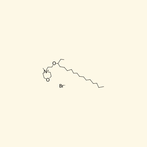 CCCCCCCCCCCCCCC(CC)OCC[N+]1(C)CCOCC1.[Br-]